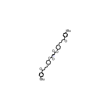 CC(C)(C)c1ccc(C(=O)CCCN2CCC(OC(=O)/C=C/C(=O)OC3CCN(CCCC(=O)c4ccc(C(C)(C)C)cc4)CC3)CC2)cc1